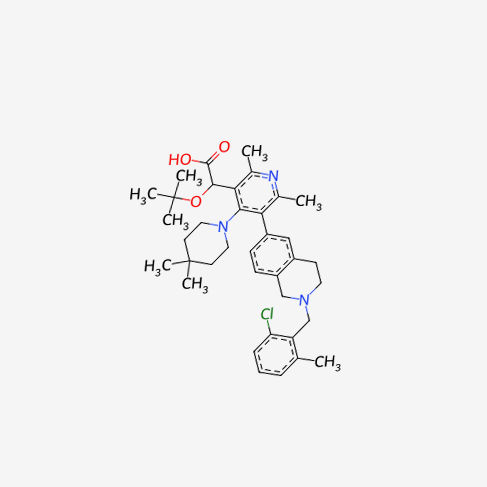 Cc1cccc(Cl)c1CN1CCc2cc(-c3c(C)nc(C)c(C(OC(C)(C)C)C(=O)O)c3N3CCC(C)(C)CC3)ccc2C1